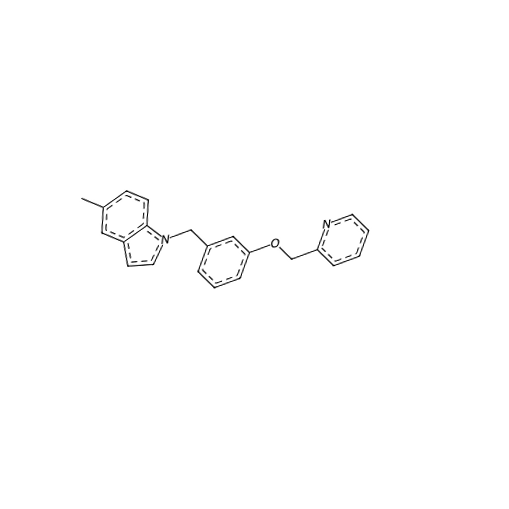 Cc1ccc2c(ccn2Cc2cccc(OCc3ccccn3)c2)c1